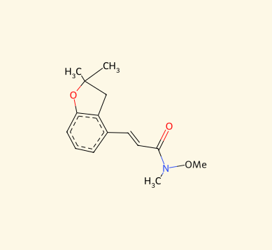 CON(C)C(=O)C=Cc1cccc2c1CC(C)(C)O2